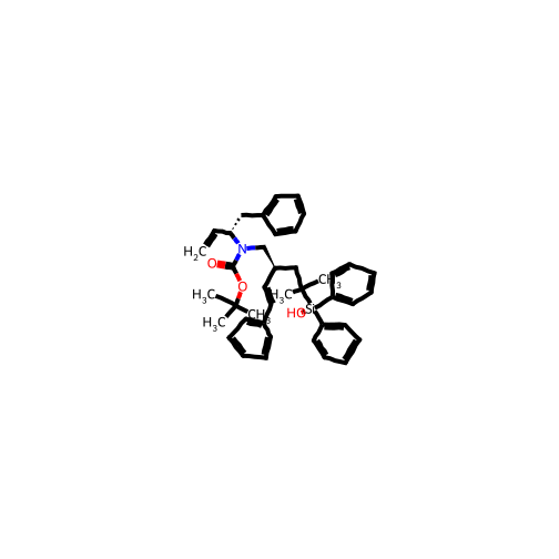 C=C[C@H](Cc1ccccc1)N(C[C@H](/C=C/c1ccccc1)CC(C)(C)[Si](O)(c1ccccc1)c1ccccc1)C(=O)OC(C)(C)C